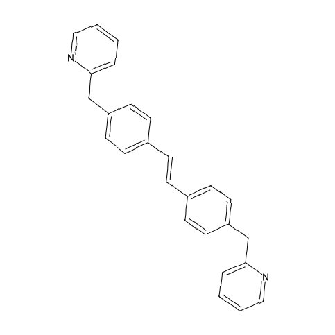 C(=Cc1ccc(Cc2ccccn2)cc1)c1ccc(Cc2ccccn2)cc1